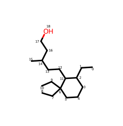 CCC1CCCC(CC)(CC)C1CCC(C)CCO